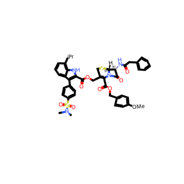 COc1ccc(COC(=O)C2=C(COC(=O)c3[nH]c4c(C(C)C)cccc4c3-c3ccc(S(=O)(=O)N(C)C)cc3)CS[C@@H]3[C@H](NC(=O)Cc4ccccc4)C(=O)N23)cc1